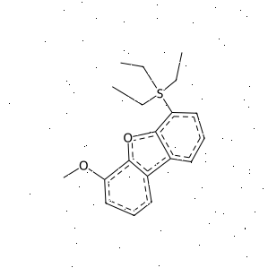 CCS(CC)(CC)c1cccc2c1oc1c(OC)cccc12